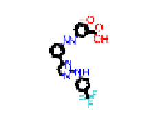 O=C(O)c1cc(N=Nc2cccc(-c3ccnc(Nc4ccc(C(F)(F)F)cc4)n3)c2)ccc1O